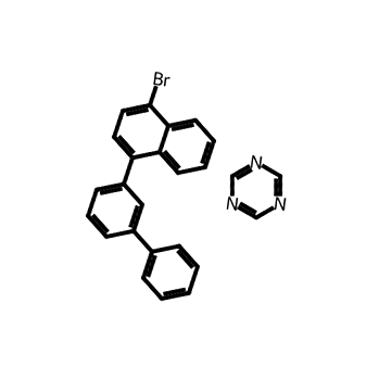 Brc1ccc(-c2cccc(-c3ccccc3)c2)c2ccccc12.c1ncncn1